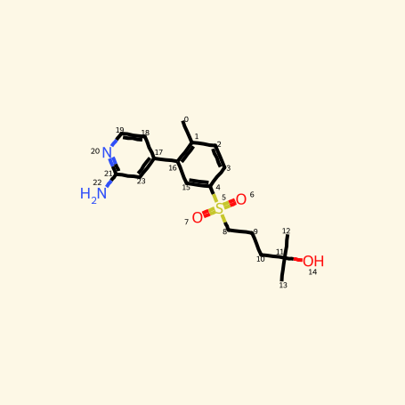 Cc1ccc(S(=O)(=O)CCCC(C)(C)O)cc1-c1ccnc(N)c1